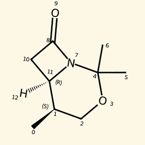 C[C@@H]1COC(C)(C)N2C(=O)C[C@H]12